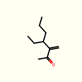 C=C(C(C)=O)C(CC)CCC